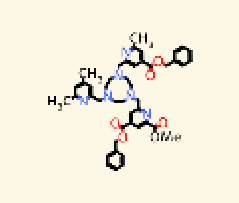 COC(=O)c1cc(C(=O)OCc2ccccc2)cc(CN2CCN(Cc3cc(C)cc(C)n3)CCN(Cc3cc(C(=O)OCc4ccccc4)cc(C)n3)CC2)n1